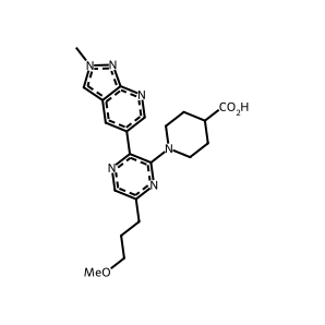 COCCCc1cnc(-c2cnc3nn(C)cc3c2)c(N2CCC(C(=O)O)CC2)n1